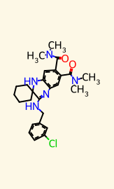 CN(C)C(=O)c1cc2c(cc1C(=O)N(C)C)NC1(CCCCC1)C(NCc1cccc(Cl)c1)=N2